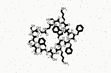 C[C@H](N)C(=O)NCC(=O)N[C@@H](CS)C(=O)N[C@@H](CCCCN)C(=O)NC(C)(C)C(=O)N[C@@H](Cc1ccccc1)C(=O)N[C@@H](Cc1ccccc1)C(=O)N[C@@H](Cc1c[nH]c2ccccc12)C(=O)N[C@@H](CCCCN)C(=O)N[C@H](C(=O)N[C@@H](Cc1ccccc1)C(=O)N[C@H](C(=O)N[C@@H](CO)C(=O)N[C@@H](CS)C(=O)O)[C@@H](C)O)[C@@H](C)O